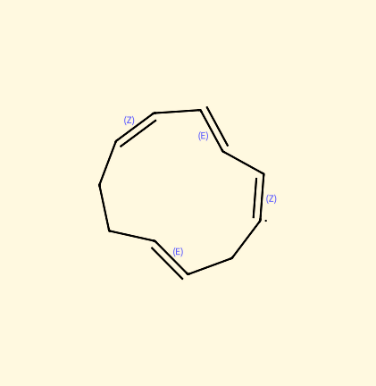 [C]1=C/C=C/C=C\CC/C=C/C\1